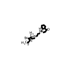 C=C(F)c1sc(CNCCCNn2ccc(=O)c3ccccc32)c(C)c1Br